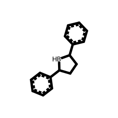 B1C(c2ccccc2)CCC1c1ccccc1